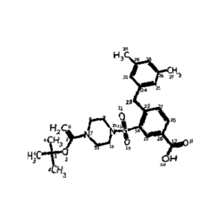 C=C(OC(C)(C)C)N1CCN(S(=O)(=O)c2cc(C(=O)O)ccc2Cc2cc(C)cc(C)c2)CC1